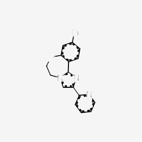 Brc1ccc2c(c1)OCCn1cc(-c3ccccn3)nc1-2